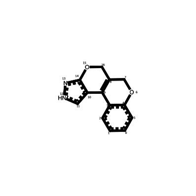 c1ccc2c(c1)OCC1=C2c2c[nH]nc2OC1